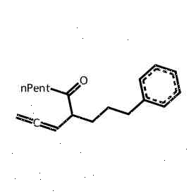 C=C=CC(CCCc1ccccc1)C(=O)CCCCC